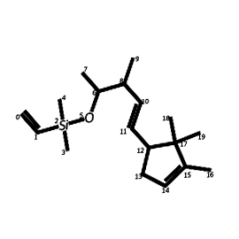 C=C[Si](C)(C)OC(C)C(C)C=CC1CC=C(C)C1(C)C